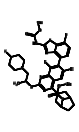 CC(CN1CCC(F)CC1)Oc1nc(N2CC3CCC(C2)N3C(=O)OC(C)(C)C)c2cc(Cl)c(-c3ccc(F)c4sc(NC(=O)OC(C)(C)C)nc34)c(F)c2n1